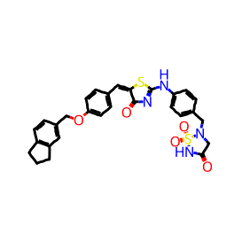 O=C1CN(Cc2ccc(NC3=NC(=O)C(=Cc4ccc(OCc5ccc6c(c5)CCC6)cc4)S3)cc2)S(=O)(=O)N1